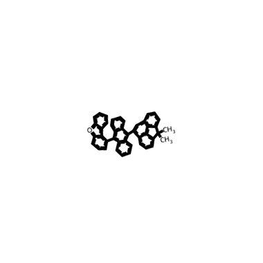 CC1(C)c2cccc3cc(-c4c5ccccc5c(-c5cccc6oc7ccccc7c56)c5ccccc45)c4cccc1c4c23